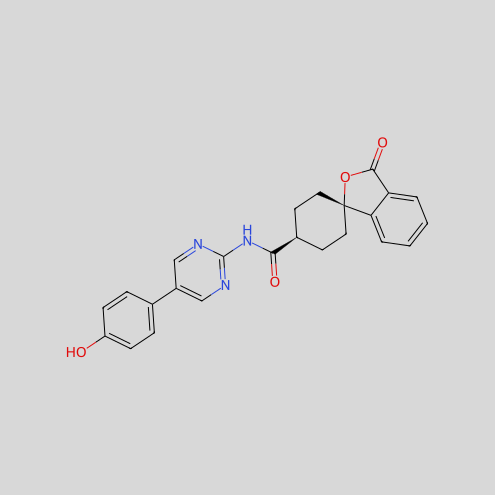 O=C1O[C@]2(CC[C@H](C(=O)Nc3ncc(-c4ccc(O)cc4)cn3)CC2)c2ccccc21